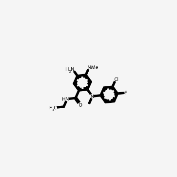 CNc1cc(N(C)c2ccc(F)c(Cl)c2)c(C(=O)NCC(F)(F)F)cc1N